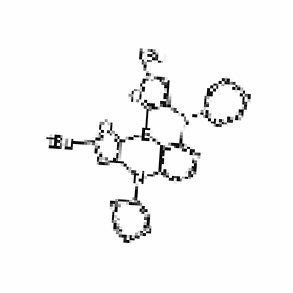 CC(C)(C)c1cc2c(o1)B1c3oc(C(C)(C)C)cc3N(c3ccccc3)c3cccc(c31)N2c1ccccc1